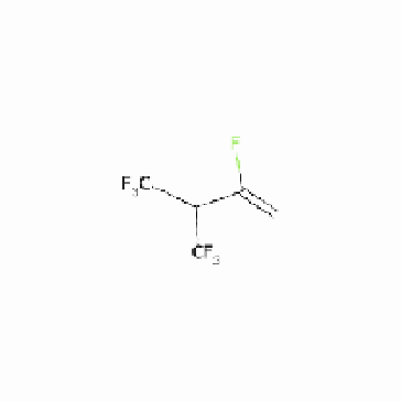 C=C(F)C(C(F)(F)F)C(F)(F)F